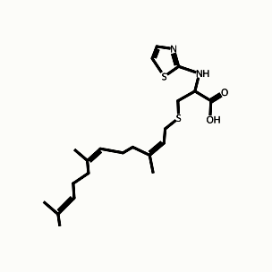 CC(C)=CCCC(C)=CCCC(C)=CCSCC(Nc1nccs1)C(=O)O